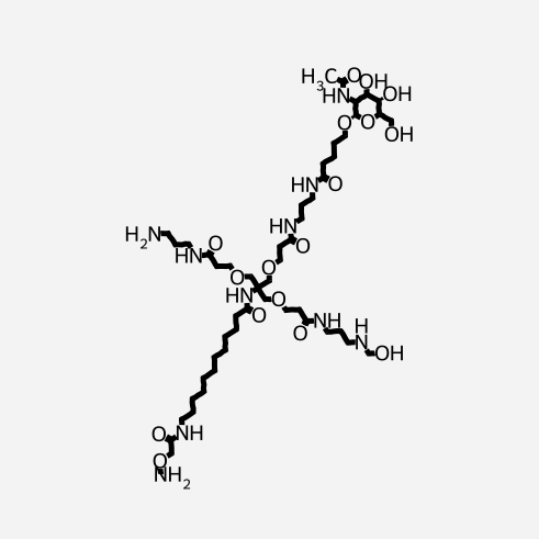 CC(=O)NC1C(O)[C@@H](O)C(CO)O[C@H]1OCCCCC(=O)NCCCNC(=O)CCOCC(COCCC(=O)NCCCN)(COCCC(=O)NCCCNCO)NC(=O)CCCCCCCCCCCNC(=O)CON